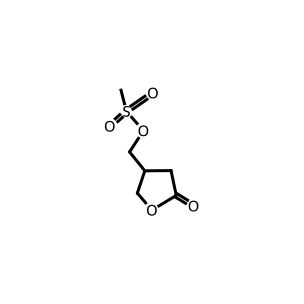 CS(=O)(=O)OCC1COC(=O)C1